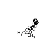 CCOC(C)OC1C(=O)OC2C3OC4(OC3OC12)C1CC2CC(C1)CC4C2